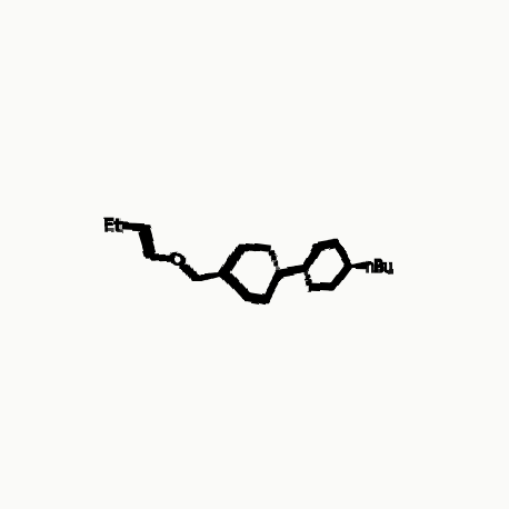 CCC=COC[C@H]1CC[C@H]([C@H]2CC[C@H](CCCC)CC2)CC1